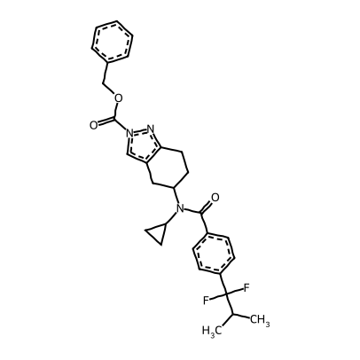 CC(C)C(F)(F)c1ccc(C(=O)N(C2CC2)C2CCc3nn(C(=O)OCc4ccccc4)cc3C2)cc1